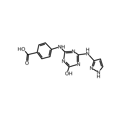 O=C(O)c1ccc(Nc2nc(O)nc(Nc3cc[nH]n3)n2)cc1